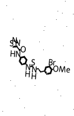 COc1ccc(CCNC(=S)Nc2ccc(NC(=O)c3csnn3)cc2)cc1Br